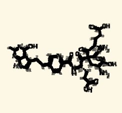 Cc1nc(O)c2c(CCc3ccc(C(=O)N[C@@H](CCC(=O)O)C(=O)C(C[C@H](N)C(=O)O)(C(=O)O)C(=O)[C@@H](N)CCC(=O)O)nc3)c[nH]c2n1